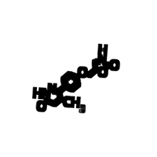 CC1CC(=O)NN=C1c1ccc(OCC2CNC(=O)O2)cc1